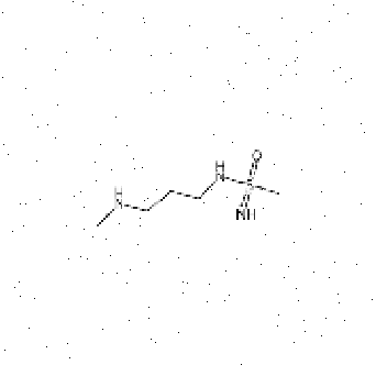 CNCCCNS(C)(=N)=O